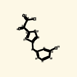 O=C(Cl)C(=O)c1nc(Cc2cccc(Cl)c2)cs1